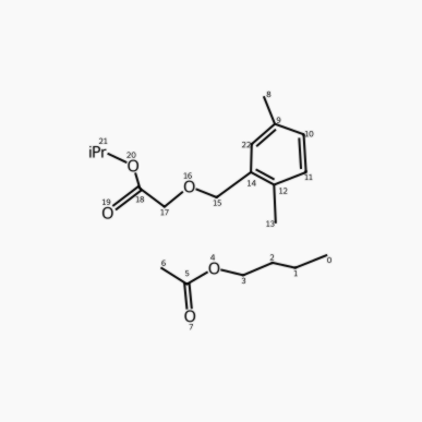 CCCCOC(C)=O.Cc1ccc(C)c(COCC(=O)OC(C)C)c1